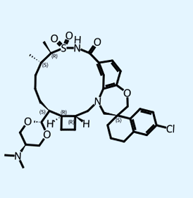 C[C@@H]1[C@@H](C)CCC[C@H]([C@H]2OC[C@H](N(C)C)CO2)[C@@H]2CC[C@H]2CN2C[C@@]3(CCCc4cc(Cl)ccc43)COc3ccc(cc32)C(=O)NS1(=O)=O